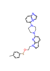 Cc1ccc(SOCCn2ccc3ccc(N4CCN(c5cccc6nccn56)CC4)nc32)cc1